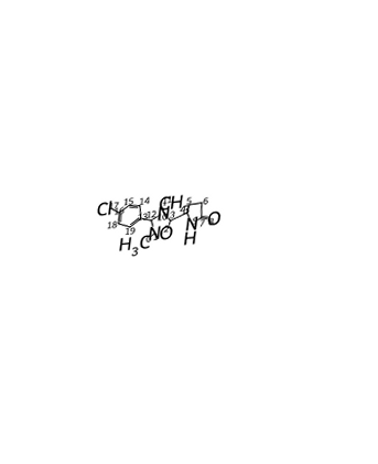 CN1OC(C2CCC(=O)N2)N(C)C1c1ccc(Cl)cc1